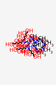 CNCC(=O)N(C)CC(=O)N(C)CC(=O)N(C)CC(=O)N(C)CC(=O)N(C)CC(=O)N(C)CC(=O)N(CCN(C[C@H](O)[C@@H](O)[C@H](O)[C@H](O)CO)C[C@H](O)[C@@H](O)[C@H](O)[C@H](O)CO)CCN(C[C@H](O)[C@@H](O)[C@H](O)[C@H](O)CO)C[C@H](O)[C@@H](O)[C@H](O)[C@H](O)CO